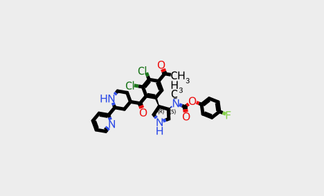 CC(=O)c1cc([C@@H]2CNC[C@H]2N(C)C(=O)Oc2ccc(F)cc2)c(C(=O)C2CCNC(c3ccccn3)C2)c(Cl)c1Cl